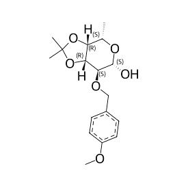 COc1ccc(CO[C@H]2[C@@H]3OC(C)(C)O[C@@H]3[C@H](C)O[C@@H]2O)cc1